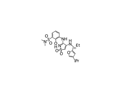 CC[C@@H](NC1=CS(=O)(=O)N=C1Nc1cccc(S(=O)(=O)N(C)C)c1O)c1cc(C(C)C)co1